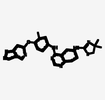 Cc1cc(Nc2ncnc3ccc(NC4=NC(C)(C)CS4)cc23)ccc1Oc1cc2nncn2cn1